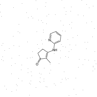 CC1=C(Nc2ccccn2)CCC1=O